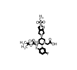 CC(C)(C)OC(=O)N[C@H]1C[C@@H](N2Cc3cn(S(C)(=O)=O)nc3C2)CN(CC(=O)O)[C@@H]1c1cc(F)ccc1F